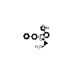 CC[C@@H]1C[C@H]1C(=O)N1CCC[C@H](c2ccn[nH]2)[C@@H]1CO[C@H]1CC[C@@H](c2ccccc2)CC1